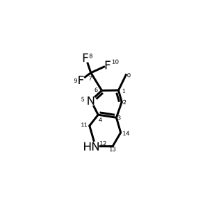 Cc1cc2c(nc1C(F)(F)F)CNCC2